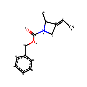 CC1C(=CC#N)CN1C(=O)OCc1ccccc1